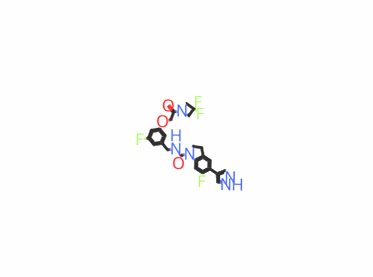 O=C(COc1cc(F)cc(CNC(=O)N2CCc3cc(-c4cn[nH]c4)c(F)cc32)c1)N1CC(F)(F)C1